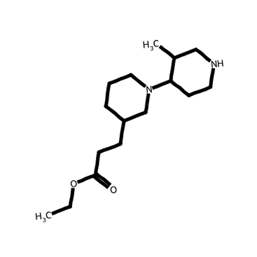 CCOC(=O)CCC1CCCN(C2CCNCC2C)C1